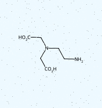 NCCN(CC(=O)O)CC(=O)O